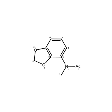 CC(=O)N(C)c1cccc2c1OCO2